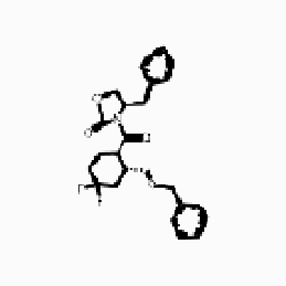 O=C1OC[C@@H](Cc2ccccc2)N1C(=O)[C@@H]1CCC(F)(F)C[C@H]1COCc1ccccc1